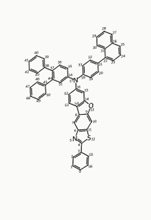 c1ccc(-c2nc3cc4c(cc3s2)oc2cc(N(c3ccc(-c5cccc6ccccc56)cc3)c3ccc(-c5ccccc5)c(-c5ccccc5)c3)ccc24)cc1